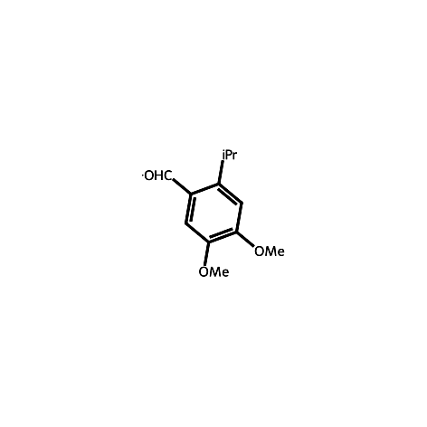 COc1cc([C]=O)c(C(C)C)cc1OC